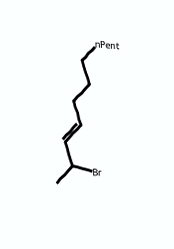 CCCCCCCC/C=C/C(C)Br